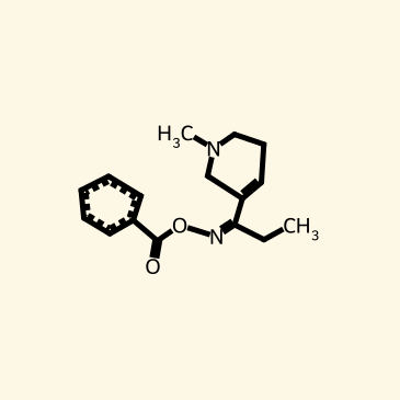 CCC(=NOC(=O)c1ccccc1)C1=CCCN(C)C1